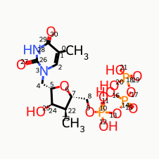 Cc1cn(C[C@@H]2O[C@H](COP(=O)(O)OP(=O)(O)OP(=O)(O)O)[C@@H](C)[C@H]2O)c(=O)[nH]c1=O